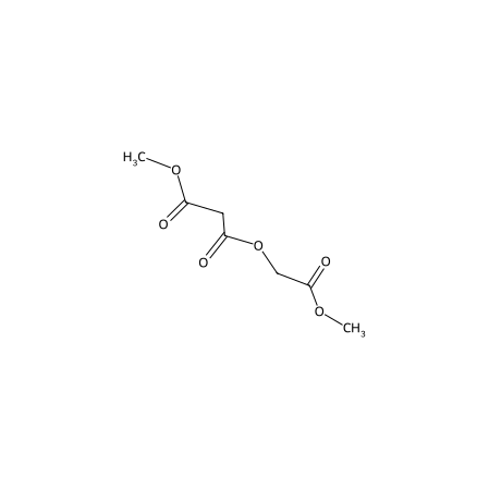 COC(=O)COC(=O)CC(=O)OC